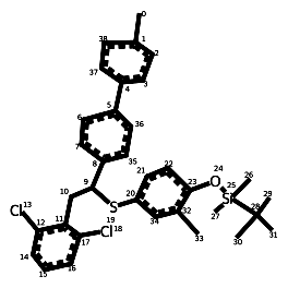 Cc1ccc(-c2ccc(C(Cc3c(Cl)cccc3Cl)Sc3ccc(O[Si](C)(C)C(C)(C)C)c(C)c3)cc2)cc1